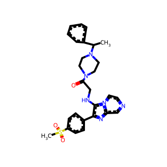 CC(c1ccccc1)N1CCN(C(=O)CNc2c(-c3ccc(S(C)(=O)=O)cc3)nc3cnccn23)CC1